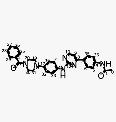 CC(=O)Nc1ccc(-c2ccnc(Nc3ccc(N4CCN(C(=O)c5ccccc5)CC4)cc3)n2)cc1